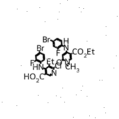 CCOC(=O)c1cn(C)c(=O)cc1Nc1ccc(Br)cc1F.CCc1c(Cl)ncc(C(=O)O)c1Nc1ccc(Br)cc1F